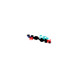 C/C=C/C1CCC(c2ccc(CCc3ccc(-c4ccc(OCC)c(F)c4F)c(F)c3F)cc2)CO1